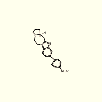 CC(=O)Nc1ccc(-c2ccc3c(c2)nc2n3CCN3CCC[C@H]3C2)cc1